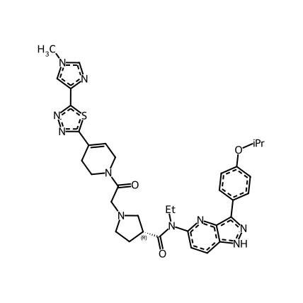 CCN(C(=O)[C@@H]1CCN(CC(=O)N2CC=C(c3nnc(-c4cn(C)cn4)s3)CC2)C1)c1ccc2[nH]nc(-c3ccc(OC(C)C)cc3)c2n1